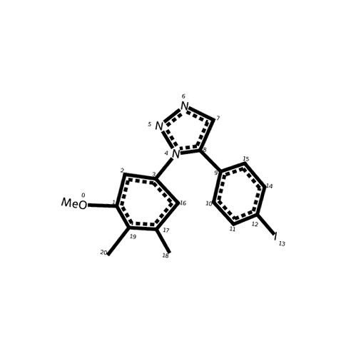 COc1cc(-n2nncc2-c2ccc(I)cc2)cc(C)c1C